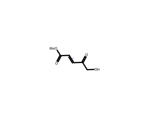 COC(=O)/C=C/C(=O)CO